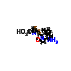 NC([C@H]1CCC(=O)N1CCSc1nc(C(=O)O)cs1)[C@@H]1C[C@H]2CC[C@@H]1C2